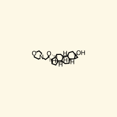 C[C@]12CC[C@@H]3[C@H]4CC[C@]5(O)CC5[C@@H]4CC[C@H]3[C@@H]1CC[C@@H]2C(=O)CN1CCOCC1